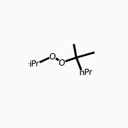 CCCC(C)(C)OO[C](C)C